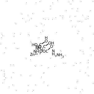 N.N.N.N.O=C(O)O.O=C(O)O.O=C([O-])[O-].[Zn+2]